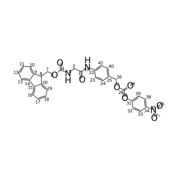 O=C(CNC(=O)OCC1c2ccccc2-c2ccccc21)Nc1ccc(COC(=O)Oc2ccc([N+](=O)[O-])cc2)cc1